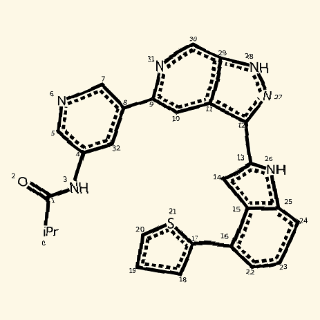 CC(C)C(=O)Nc1cncc(-c2cc3c(-c4cc5c(-c6cccs6)cccc5[nH]4)n[nH]c3cn2)c1